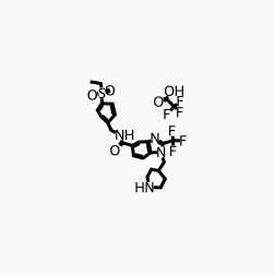 CCS(=O)(=O)c1ccc(CNC(=O)c2ccc3c(c2)nc(C(F)(F)F)n3CC2CCNCC2)cc1.O=C(O)C(F)(F)F